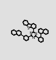 c1cc(-c2ccc3ccccc3c2)cc(-c2nc(-c3ccccc3-c3cccc4ccccc34)nc(-c3cccc4c3sc3ccccc34)n2)c1